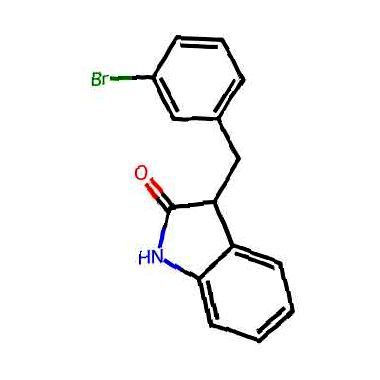 O=C1Nc2ccccc2C1Cc1cccc(Br)c1